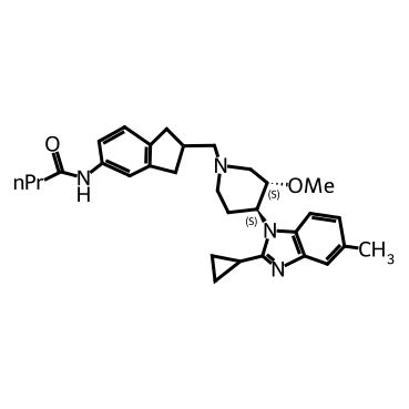 CCCC(=O)Nc1ccc2c(c1)CC(CN1CC[C@H](n3c(C4CC4)nc4cc(C)ccc43)[C@@H](OC)C1)C2